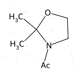 CC(=O)N1CCOC1(C)C